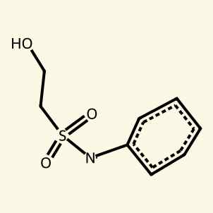 O=S(=O)(CCO)[N]c1ccccc1